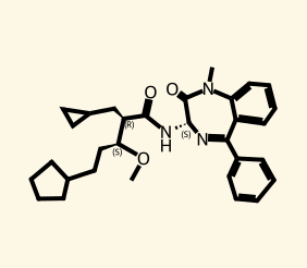 CO[C@@H](CCC1CCCC1)[C@@H](CC1CC1)C(=O)N[C@H]1N=C(c2ccccc2)c2ccccc2N(C)C1=O